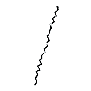 C=CCOCCOCCOCCOCCOCCCCCCCCCCC